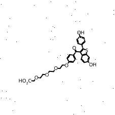 O=C(O)COCCOCCOCCOc1ccc(C(=O)c2c(-c3ccc(O)cc3)sc3cc(O)ccc23)cc1